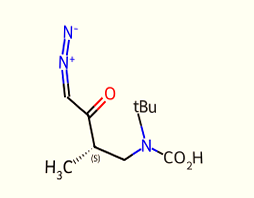 C[C@@H](CN(C(=O)O)C(C)(C)C)C(=O)C=[N+]=[N-]